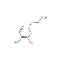 O=Cc1ccc(CCC(=O)O)cc1O